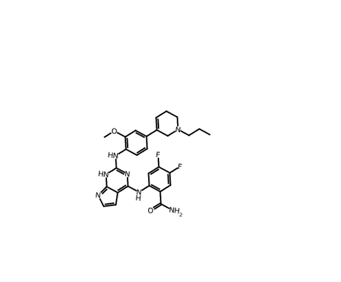 CCCN1CCC=C(c2ccc(Nc3nc(Nc4cc(F)c(F)cc4C(N)=O)c4ccnc-4[nH]3)c(OC)c2)C1